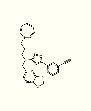 N#Cc1cccc(-c2cc(N(CCCN3C=CC=CC=C3)Cc3ccc4c(c3)OCO4)on2)c1